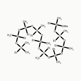 CC[Si](C)(C)O[Si](C)(CC)O[Si](C)(CC)O[Si](C)(CC)O[Si](C)(CC)O[Si](C)(CC)O[Si](C)(CC)O[Si](C)(CC)O[Si](C)(CC)O[Si](C)(CC)OC